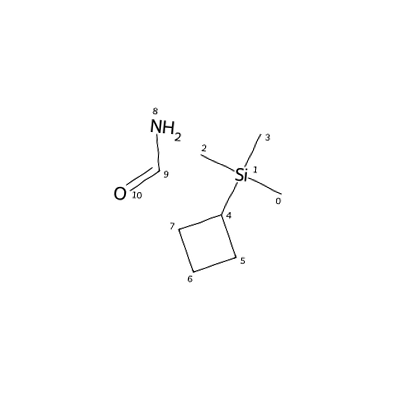 C[Si](C)(C)C1CCC1.NC=O